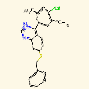 Cc1cc(-c2ncnc3cc(SCc4ccccc4)ccc23)c(C)cc1Cl